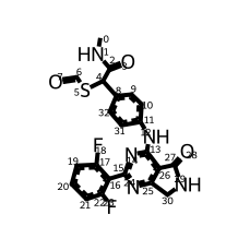 CNC(=O)C(SC=O)c1ccc(Nc2nc(-c3c(F)cccc3F)nc3c2C(=O)NC3)cc1